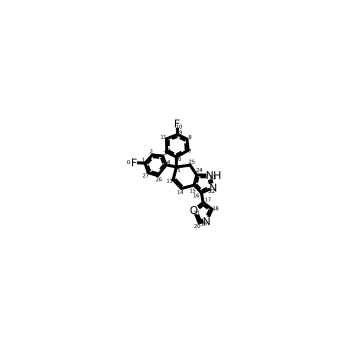 Fc1ccc(C2(c3ccc(F)cc3)C=Cc3c(-c4cnco4)n[nH]c3C2)cc1